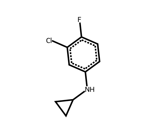 Fc1ccc(NC2CC2)cc1Cl